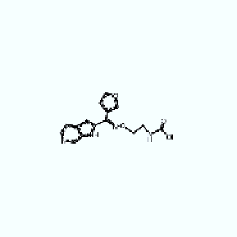 O=C(O)NCCO/N=C(\c1ccoc1)c1cc2ccncc2[nH]1